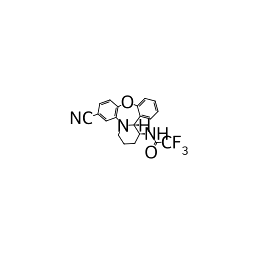 N#Cc1ccc2c(c1)N1CCC[C@H](NC(=O)C(F)(F)F)[C@H]1c1ccccc1O2